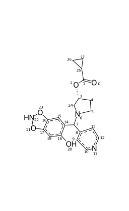 O=C(O[C@@H]1CCN(C(c2ccncc2)c2cc3c(cc2O)ONO3)C1)C1CC1